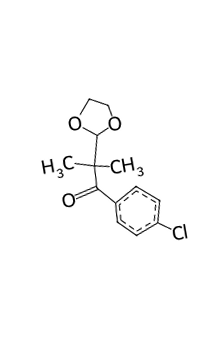 CC(C)(C(=O)c1ccc(Cl)cc1)C1OCCO1